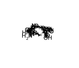 CCCCOc1nc(N)c2[nH]c(=O)n(Cc3ccc(OCCCCN(CCCN4CCOCC4)Cc4cccc(CC(=O)O)c4)nc3)c2n1